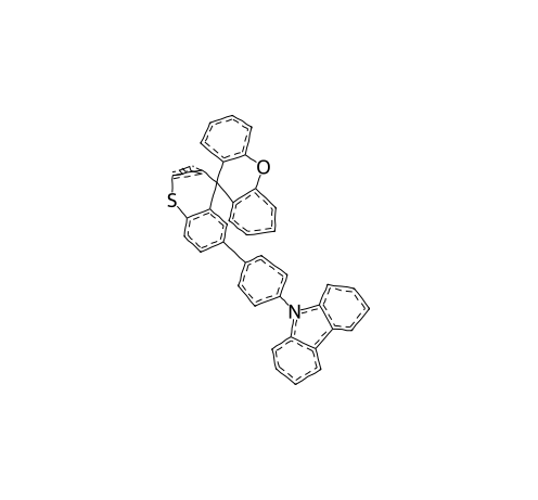 c1ccc2c(c1)Oc1ccccc1C21c2ccccc2Sc2ccc(-c3ccc(-n4c5ccccc5c5ccccc54)cc3)cc21